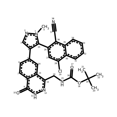 Cn1ncc(-c2ccc3c(=O)[nH]nc(CNC(=O)OC(C)(C)C)c3c2)c1-c1cc(Cl)c2ccccc2c1C#N